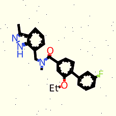 CCOc1cc(C(=O)N(C)Cc2cccc3c(C)n[nH]c23)ccc1-c1cccc(F)c1